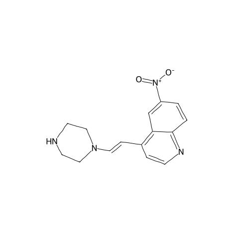 O=[N+]([O-])c1ccc2nccc(C=CN3CCNCC3)c2c1